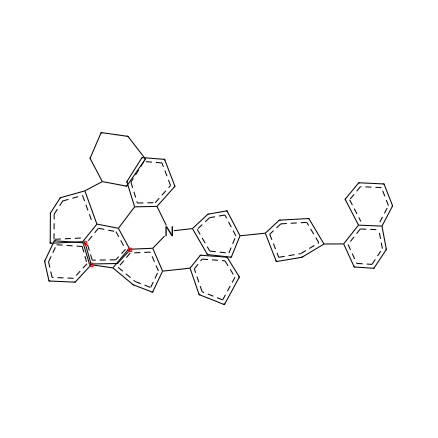 c1ccc(-c2ccc(-c3ccccc3)c(N(c3ccc(-c4ccc(-c5cccc6ccccc56)cc4)cc3)c3ccccc3-c3cccc4cccc(C5CCCCC5)c34)c2)cc1